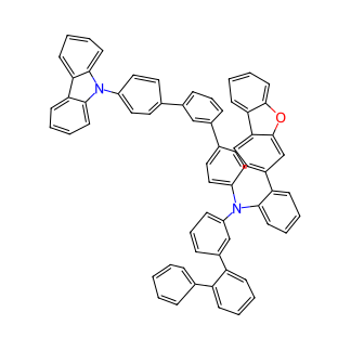 c1ccc(-c2ccccc2-c2cccc(N(c3ccc(-c4cccc(-c5ccc(-n6c7ccccc7c7ccccc76)cc5)c4)cc3)c3ccccc3-c3ccc4c(c3)oc3ccccc34)c2)cc1